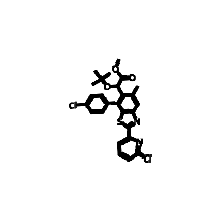 COC(=O)C(OC(C)(C)C)c1c(C)cc2nc(-c3cccc(Cl)n3)sc2c1-c1ccc(Cl)cc1